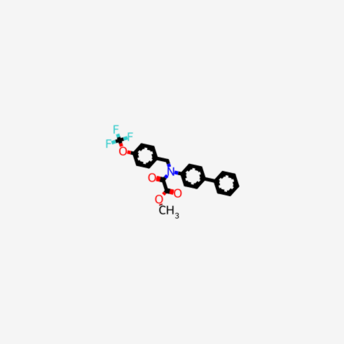 COC(=O)C(=O)N(Cc1ccc(OC(F)(F)F)cc1)c1ccc(-c2ccccc2)cc1